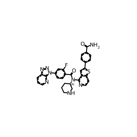 NC(=O)c1ccc(-c2cc3c(N(C(=O)c4ccc(-n5nnc6cccnc65)cc4F)[C@@H]4CCCNC4)nccc3s2)cc1